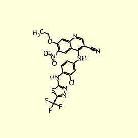 CCOc1cc2ncc(C#N)c(Nc3ccc(Nc4nnc(C(F)(F)F)s4)c(Cl)c3)c2cc1[N+](=O)[O-]